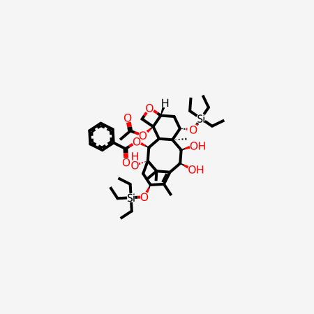 CC[Si](CC)(CC)O[C@H]1C[C@@]2(O)[C@@H](OC(=O)c3ccccc3)C3[C@@](C)([C@@H](O[Si](CC)(CC)CC)C[C@H]4OC[C@@]34OC(C)=O)[C@@H](O)[C@@H](O)C(=C1C)C2(C)C